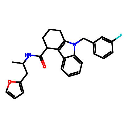 CC(Cc1ccco1)NC(=O)C1CCCc2c1c1ccccc1n2Cc1cccc(F)c1